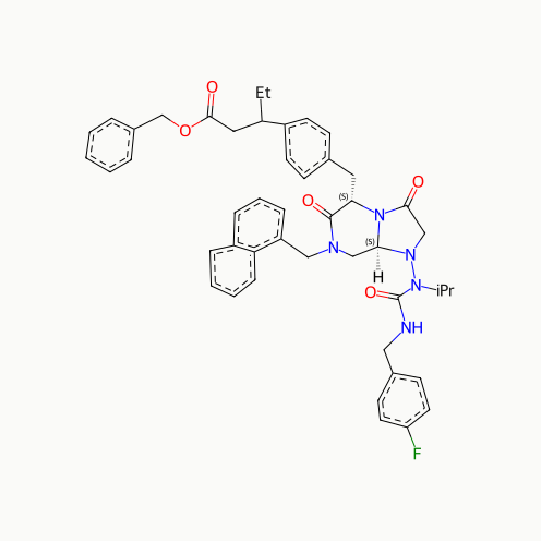 CCC(CC(=O)OCc1ccccc1)c1ccc(C[C@H]2C(=O)N(Cc3cccc4ccccc34)C[C@H]3N2C(=O)CN3N(C(=O)NCc2ccc(F)cc2)C(C)C)cc1